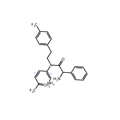 C=C(/C=C\C(=C/N)N(CCc1ccc(C(F)(F)F)cc1)C(=O)C(N)c1ccccc1)C(F)(F)F